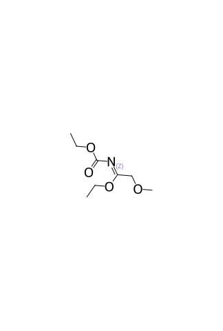 CCOC(=O)/N=C(/COC)OCC